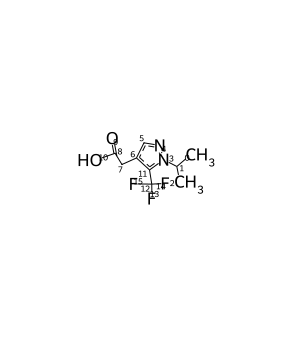 CC(C)n1ncc(CC(=O)O)c1C(F)(F)F